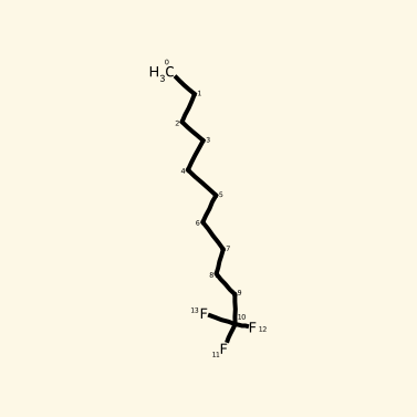 CCCCCCCC[CH]CC(F)(F)F